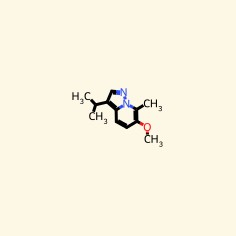 COc1ccc2c(C(C)C)cnn2c1C